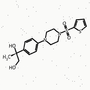 C[C@](O)(CO)c1ccc(N2CCN(S(=O)(=O)c3cccs3)CC2)cc1